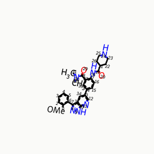 COc1ccccc1-c1n[nH]c2ncc(-c3ccc(NC(=O)C4CCNCC4)c(C(=O)N(C)C)c3)cc12